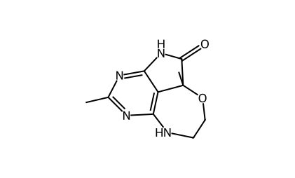 Cc1nc2c3c(n1)NC(=O)C3(C)OCCN2